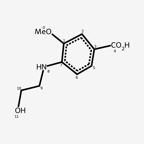 COc1cc(C(=O)O)ccc1NCCO